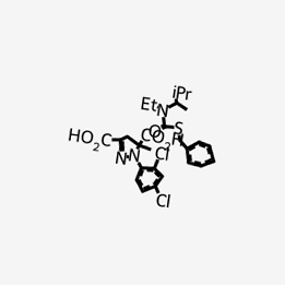 CC1(C(=O)O)CC(C(=O)O)=NN1c1ccc(Cl)cc1Cl.CCN(C(=O)SCc1ccccc1)C(C)C(C)C